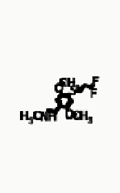 CNCCc1cc(OC)c(SCCC(F)F)cc1OC